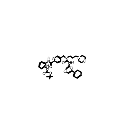 CC(C)(C)OC(=O)Nc1ccccc1NC(=O)c1ccc(CN(CCCN2CCOCC2)C(=O)NC2=COC=C(C3=CC=CCC3)O2)cn1